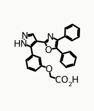 O=C(O)COc1cccc(-c2[nH]ncc2-c2nc(-c3ccccc3)c(-c3ccccc3)o2)c1